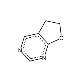 c1ncc2c(n1)OCC2